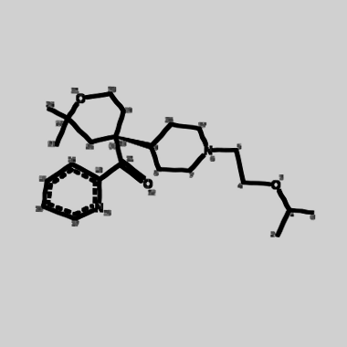 CC(C)OCCN1CCC([C@]2(C(=O)c3ccccn3)CCOC(C)(C)C2)CC1